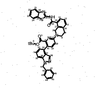 CC(C)(C)OC(=O)c1nc(N2CCc3cccc(C(=O)Nc4nc5ccccc5s4)c3C2)ccc1-c1cccc2c1cnn2Cc1ccccc1